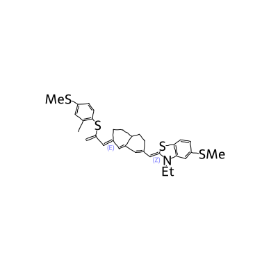 C=C(/C=C1/C=C2C=C(/C=C3\Sc4ccc(SC)cc4N3CC)CCC2CC1)Sc1ccc(SC)cc1C